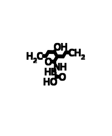 C=C/C=C(O)\C(=C/C=C)C(=O)NBC(=O)O